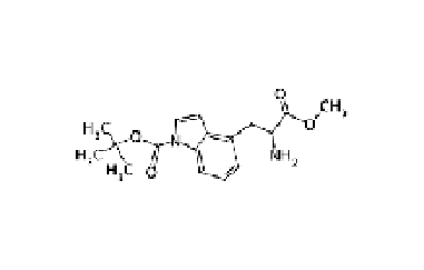 COC(=O)[C@@H](N)Cc1cccc2c1ccn2C(=O)OC(C)(C)C